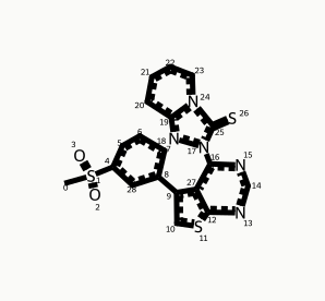 CS(=O)(=O)c1cccc(-c2csc3ncnc(-n4nc5ccccn5c4=S)c23)c1